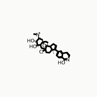 CN(C)[C@H]1C[C@@]23CC[C@]4(O2)C2CC=C(c5ccc6c(O)nccc6c5)[C@@]2(C)CCC4(Cl)CC3[C@@H](O)[C@@H]1O